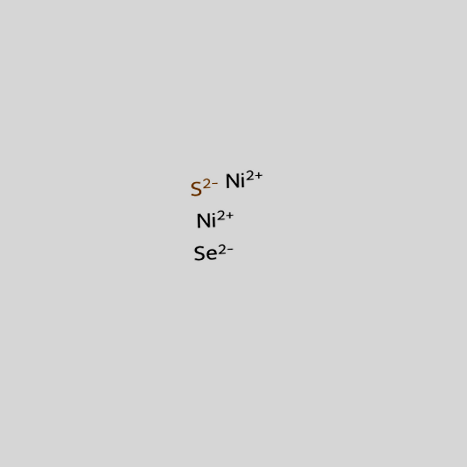 [Ni+2].[Ni+2].[S-2].[Se-2]